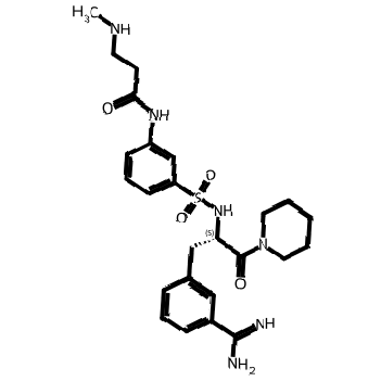 CNCCC(=O)Nc1cccc(S(=O)(=O)N[C@@H](Cc2cccc(C(=N)N)c2)C(=O)N2CCCCC2)c1